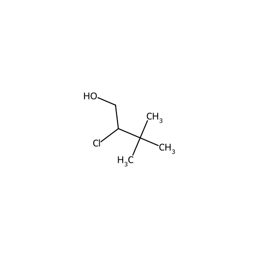 CC(C)(C)C(Cl)CO